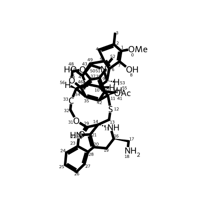 COc1c(C)cc2c(c1O)[C@H]1[C@@H]3[C@@H]4SC[C@]5(N[C@@H](CN)Cc6c5[nH]c5ccccc65)C(=O)OCC[C@@H](c5c6c(c(C)c(OC(C)=O)c54)OCO6)N3C(O)(C2)CN1C